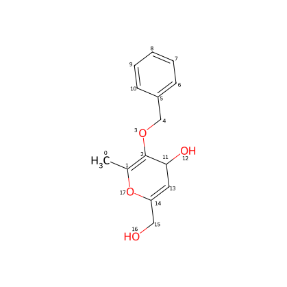 CC1=C(OCc2ccccc2)C(O)C=C(CO)O1